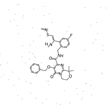 C=NS/C=C(\N)c1cc(F)ccc1CNC(=O)c1nc2n(c(=O)c1OCc1ccccc1)CCOC2(C)C